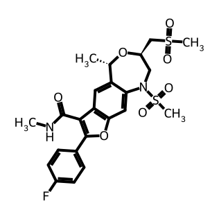 CNC(=O)c1c(-c2ccc(F)cc2)oc2cc3c(cc12)[C@H](C)O[C@@H](CS(C)(=O)=O)CN3S(C)(=O)=O